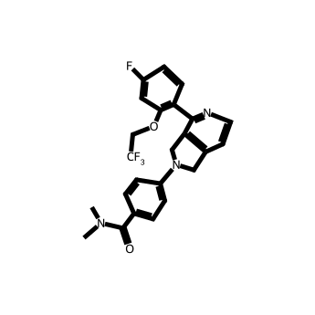 CN(C)C(=O)c1ccc(N2Cc3ccnc(-c4ccc(F)cc4OCC(F)(F)F)c3C2)cc1